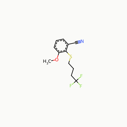 COc1cccc(C#N)c1SCCCC(F)(F)F